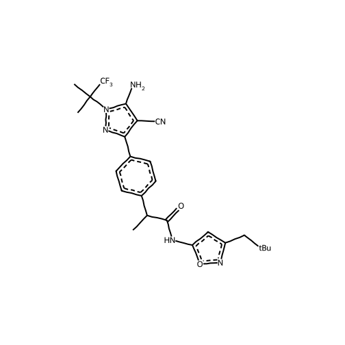 CC(C(=O)Nc1cc(CC(C)(C)C)no1)c1ccc(-c2nn(C(C)(C)C(F)(F)F)c(N)c2C#N)cc1